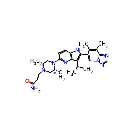 Cc1c(-c2[nH]c3ccc(N4C[C@@H](C)N(CCC(N)=O)C[C@H]4C)nc3c2C(C)C)cn2ncnc2c1C